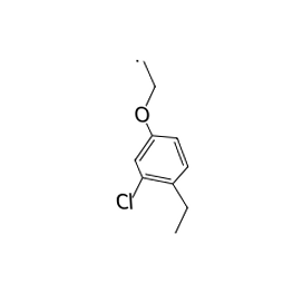 [CH2]COc1ccc(CC)c(Cl)c1